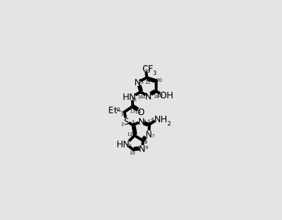 CC[C@@H](Sc1nc(N)nc2nc[nH]c12)C(=O)Nc1nc(O)cc(C(F)(F)F)n1